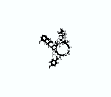 Cc1nc2cccc(F)c2nc1O[C@@H]1C[C@H]2C(=O)N[C@]3(C(=O)NS(=O)(=O)C4(C)CC4)C[C@H]3/C=C\CCCCC[C@H](NC(=O)c3ccc(F)cc3)C(=O)N2C1